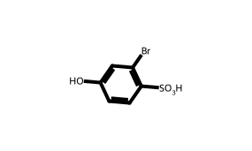 O=S(=O)(O)c1ccc(O)cc1Br